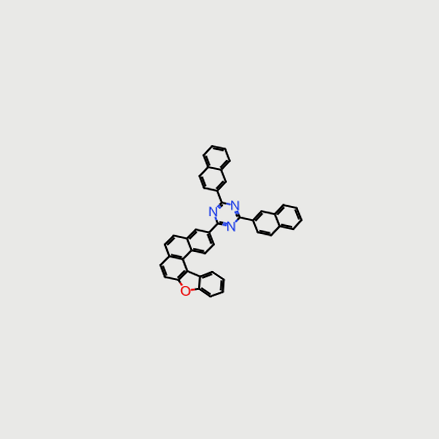 c1ccc2cc(-c3nc(-c4ccc5ccccc5c4)nc(-c4ccc5c(ccc6ccc7oc8ccccc8c7c65)c4)n3)ccc2c1